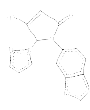 O=C1[C]=C(O)C(n2cccn2)N1c1ccc2[nH]cnc2c1